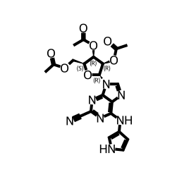 CC(=O)OC[C@@H]1O[C@@H](n2cnc3c(Nc4cc[nH]c4)nc(C#N)nc32)[C@H](OC(C)=O)[C@@H]1OC(C)=O